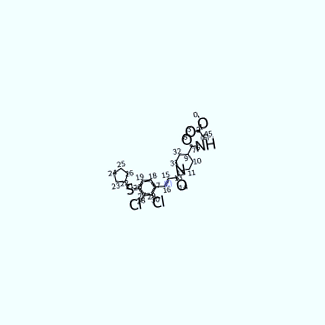 COC(=O)[C@H](C)NC(=O)C1CCN(C(=O)/C=C/c2ccc(SC3CCCC3)c(Cl)c2Cl)CC1